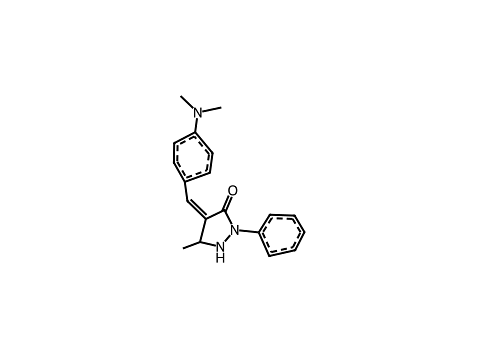 CC1NN(c2ccccc2)C(=O)/C1=C\c1ccc(N(C)C)cc1